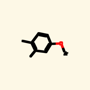 Cc1ccc([O][Zr])cc1C